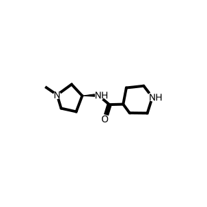 CN1CC[C@H](NC(=O)C2CCNCC2)C1